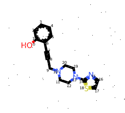 Oc1ccccc1C#CCN1CCN(c2nccs2)CC1